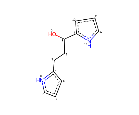 OC(CCc1ccc[nH]1)c1ccc[nH]1